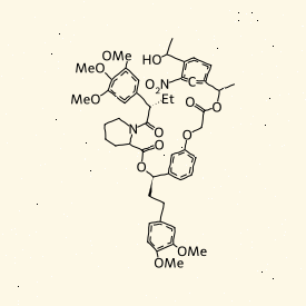 CC[C@H](C(=O)N1CCCCC1C(=O)O[C@H](CCc1ccc(OC)c(OC)c1)c1cccc(OCC(=O)OC(C)c2ccc(C(C)O)c([N+](=O)[O-])c2)c1)c1cc(OC)c(OC)c(OC)c1